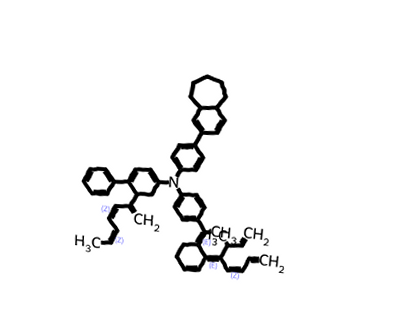 C=C\C=C/C(=C1\C=CCC\C1=C(\C)c1ccc(N(C2=CC=C(c3ccccc3)C(C(=C)/C=C\C=C/C)C2)c2ccc(C3=CC4CCCCCC4C=C3)cc2)cc1)C(C)C=C